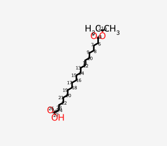 CC(C)OC(=O)CCCCCCCCCCCCCCCCCCCC(=O)O